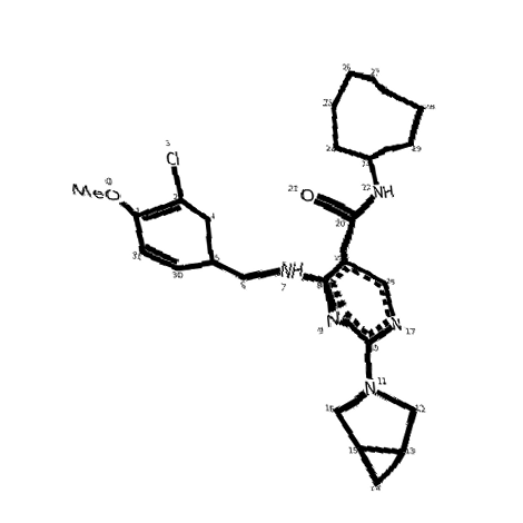 COC1=C(Cl)CC(CNc2nc(N3CC4CC4C3)ncc2C(=O)NC2CCCCCC2)C=C1